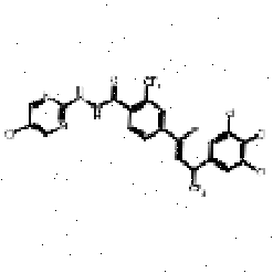 O=C(NNc1ncc(Cl)cn1)c1ccc(C(F)=CC(c2cc(Cl)c(Cl)c(Cl)c2)C(F)(F)F)cc1C(F)(F)F